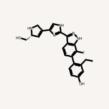 CCc1cc(O)ccc1-c1ccc2c(-c3nc(C4=C[C@H](CO)NC4)c[nH]3)n[nH]c2c1F